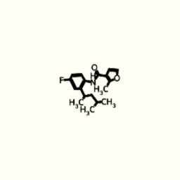 Cc1occc1C(=O)Nc1ccc(F)cc1C(C)CC(C)C